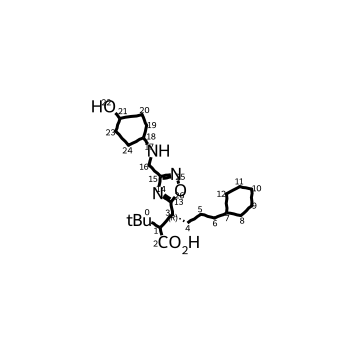 CC(C)(C)C(C(=O)O)[C@@H](CCCC1CCCCC1)c1nc(CNC2CCC(O)CC2)no1